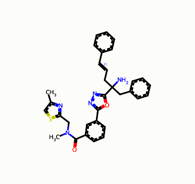 Cc1csc(CN(C)C(=O)c2cccc(-c3nnc(C(N)(C/C=C/c4ccccc4)Cc4ccccc4)o3)c2)n1